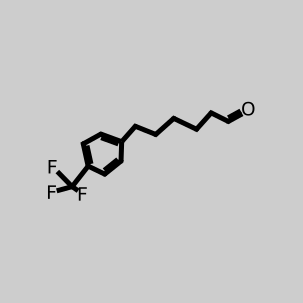 O=CCCCCCc1ccc(C(F)(F)F)cc1